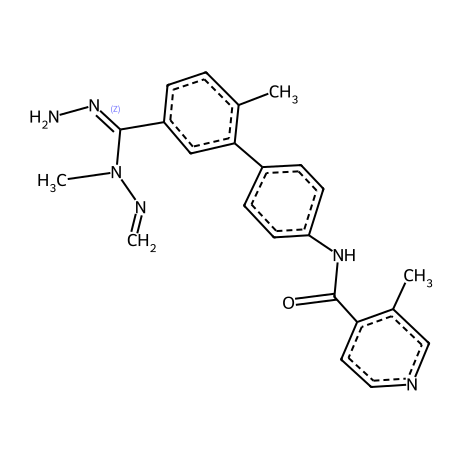 C=NN(C)/C(=N\N)c1ccc(C)c(-c2ccc(NC(=O)c3ccncc3C)cc2)c1